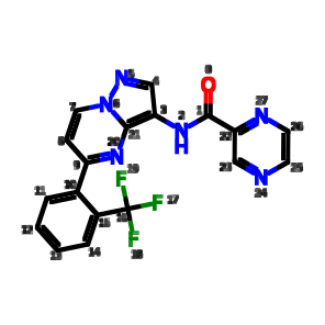 O=C(Nc1cnn2ccc(-c3ccccc3C(F)(F)F)nc12)c1cnccn1